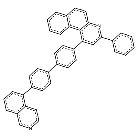 c1ccc(-c2cc(-c3ccc(-c4ccc(-c5cccc6cnccc56)cc4)cc3)c3c(ccc4ccccc43)n2)cc1